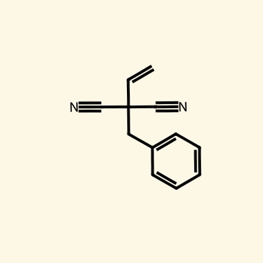 C=CC(C#N)(C#N)Cc1ccccc1